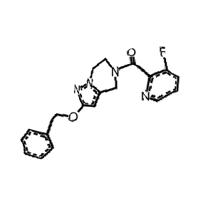 O=C(c1ncccc1F)N1CCn2nc(OCc3ccccc3)cc2C1